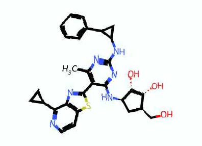 Cc1nc(NC2CC2c2ccccc2)nc(N[C@@H]2C[C@H](CO)[C@@H](O)[C@H]2O)c1-c1nc2c(C3CC3)nccc2s1